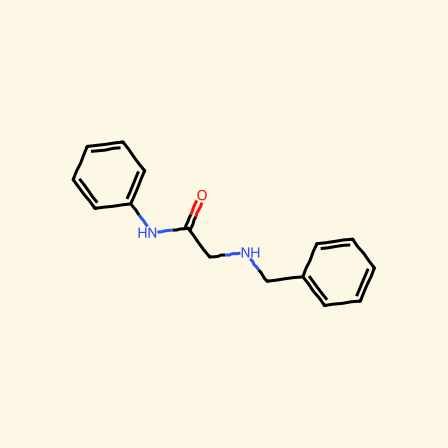 O=C(CNCc1ccccc1)Nc1ccccc1